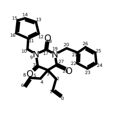 C=CCC1(CC=C)C(=O)N(Cc2ccccc2)C(=O)N(Cc2ccccc2)C1=O